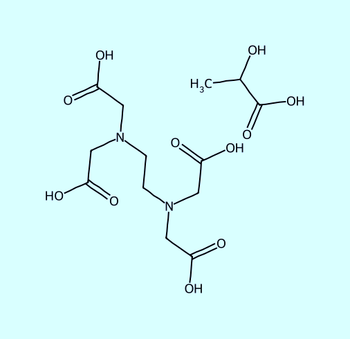 CC(O)C(=O)O.O=C(O)CN(CCN(CC(=O)O)CC(=O)O)CC(=O)O